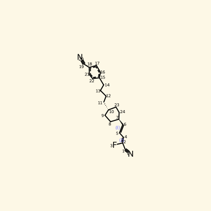 N#C/C(F)=C/C=C/[C@H]1CC[C@H](CCCCc2ccc(C#N)cc2)CC1